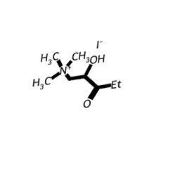 CCC(=O)C(O)C[N+](C)(C)C.[I-]